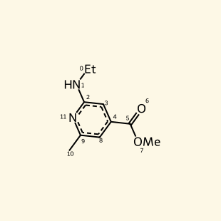 CCNc1cc(C(=O)OC)cc(C)n1